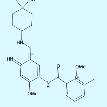 COC1=CC(=N)/C(=C\NC2CCC(C)(O)CC2)C=C1NC(=O)c1cccc(C)[n+]1OC